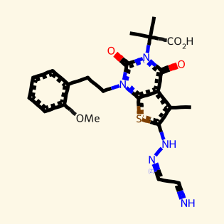 COc1ccccc1CCn1c(=O)n(C(C)(C)C(=O)O)c(=O)c2c(C)c(N/N=C\C=N)sc21